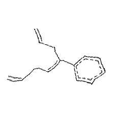 C=CCC=C(CC=C)c1ccccc1